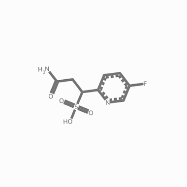 NC(=O)CC(c1ccc(F)cn1)S(=O)(=O)O